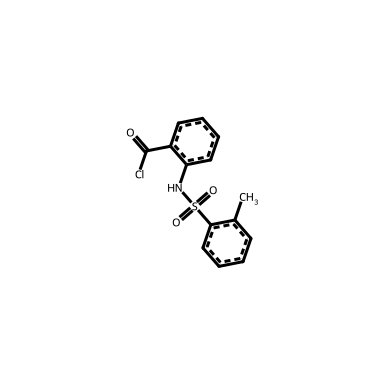 Cc1ccccc1S(=O)(=O)Nc1ccccc1C(=O)Cl